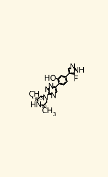 CC[C@@H]1CN(c2ncc(-c3ccc(-c4cn[nH]c4F)cc3O)nn2)C[C@H](C)N1